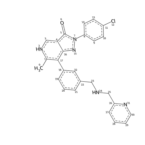 Cc1[nH]cc2c(=O)n(-c3ccc(Cl)cc3)nc-2c1-c1cccc(CNCc2ccccn2)c1